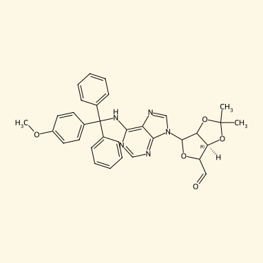 COc1ccc(C(Nc2ncnc3c2ncn3C2OC(C=O)[C@@H]3OC(C)(C)OC23)(c2ccccc2)c2ccccc2)cc1